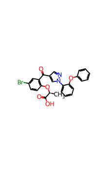 C[C@H](Oc1ccc(Br)cc1C(=O)c1cnn(-c2ccccc2Oc2ccccc2)c1)C(=O)O